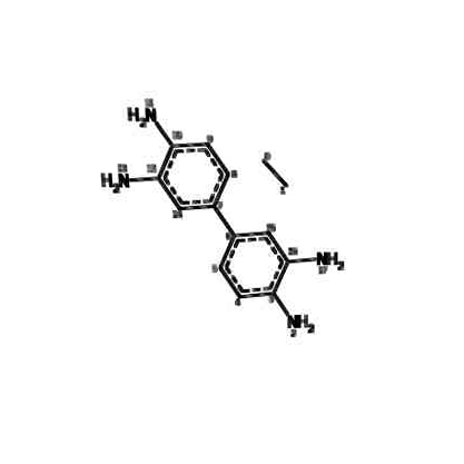 CC.Nc1ccc(-c2ccc(N)c(N)c2)cc1N